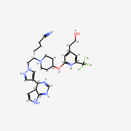 N#CCCC[C@@H](Cn1cc(C2N=CN=C3NC=CC32)cn1)N1CCC(Oc2cc(CCO)cc(C(F)(F)F)n2)CC1